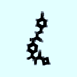 C[C@@H](c1ccc(NC(=O)OCc2ccc(Cl)cc2)cc1)N(C)C(=O)N1CCC1